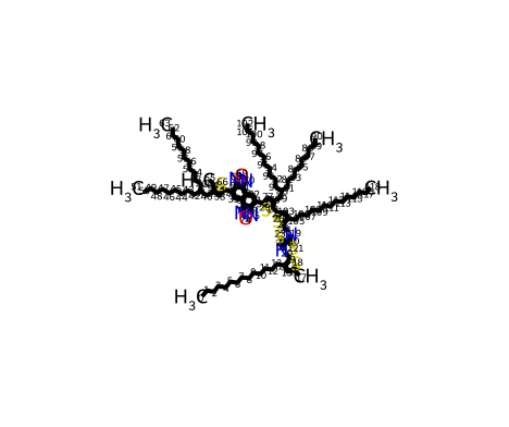 CCCCCCCCCCCCCCc1cc(C)sc1-c1nc2sc(-c3sc(-c4sc(-c5cc6c(cc(-c7cc(CC(CCCCCCCCCC)CCCCCCCCCCCC)c(C)s7)c7nonc76)c6nonc56)cc4CC(CCCCCCCCCC)CCCCCCCCCCCC)cc3CCCCCCCCCCCCCC)nc2s1